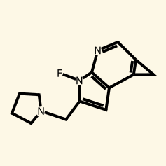 Fn1c(CN2CCCC2)cc2c3c(cnc21)C3